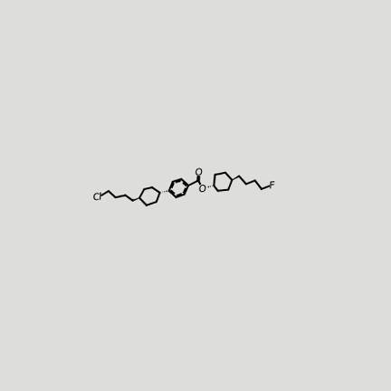 O=C(O[C@H]1CC[C@H](CCCCF)CC1)c1ccc([C@H]2CC[C@H](CCCCCl)CC2)cc1